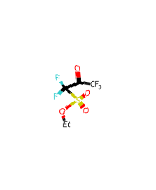 CCOS(=O)(=O)C(F)(F)C(=O)C(F)(F)F